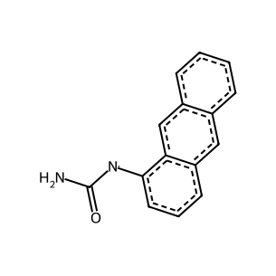 NC(=O)[N]c1cccc2cc3ccccc3cc12